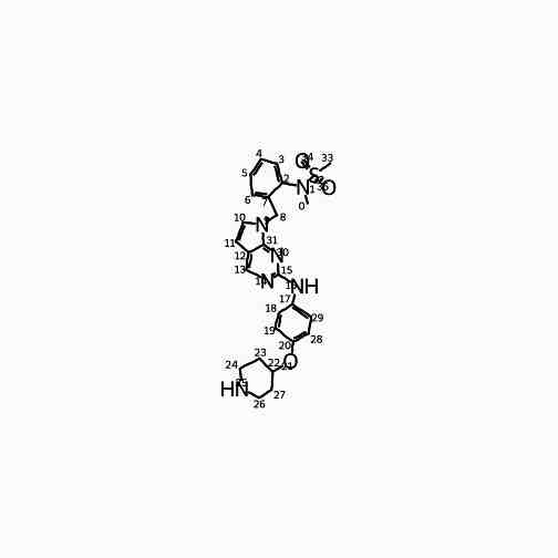 CN(c1ccccc1Cn1ccc2cnc(Nc3ccc(OC4CCNCC4)cc3)nc21)S(C)(=O)=O